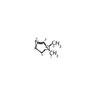 CS1(C)C=NCC1